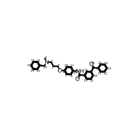 CN(CCCOc1ccc(NC(=O)c2cccc(C(=O)c3ccccc3)c2)cc1)Cc1ccccc1